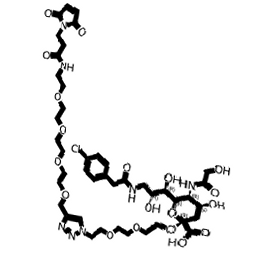 O=C(CCN1C(=O)C=CC1=O)NCCOCCOCCOCCOCc1cn(CCOCCOCCO[C@]2(C(=O)O)C[C@H](O)[C@@H](NC(=O)CO)[C@H]([C@H](O)[C@H](O)CNC(=O)Cc3ccc(Cl)cc3)O2)nn1